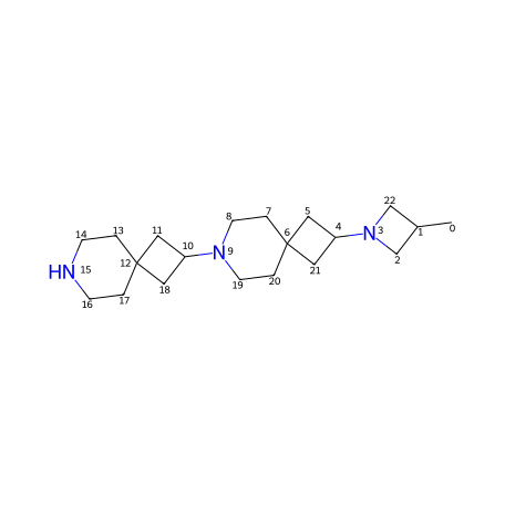 CC1CN(C2CC3(CCN(C4CC5(CCNCC5)C4)CC3)C2)C1